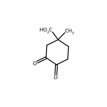 CC1(C(=O)O)CCC(=O)C(=O)C1